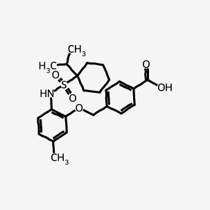 Cc1ccc(NS(=O)(=O)C2(C(C)C)CCCCC2)c(OCc2ccc(C(=O)O)cc2)c1